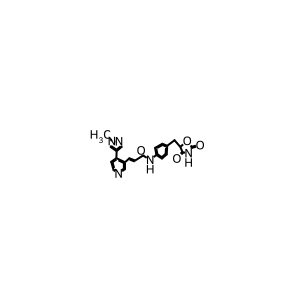 Cn1cc(-c2ccncc2/C=C/C(=O)Nc2ccc(CC3OC(=O)NC3=O)cc2)cn1